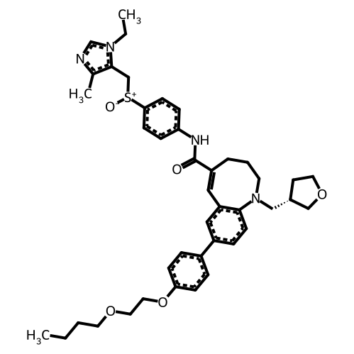 CCCCOCCOc1ccc(-c2ccc3c(c2)/C=C(/C(=O)Nc2ccc([S+]([O-])Cc4c(C)ncn4CC)cc2)CCCN3C[C@@H]2CCOC2)cc1